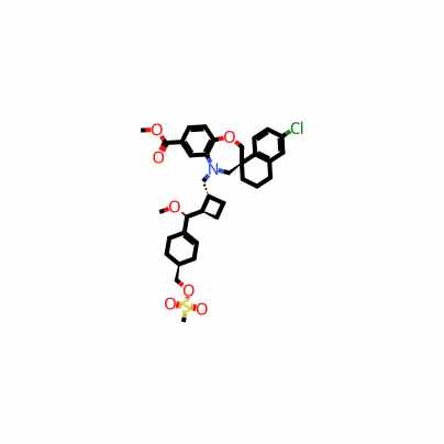 COC(=O)c1ccc2c(c1)N(C[C@@H]1CC[C@H]1[C@@H](OC)C1=CC[C@@H](COS(C)(=O)=O)CC1)C[C@@]1(CCCc3cc(Cl)ccc31)CO2